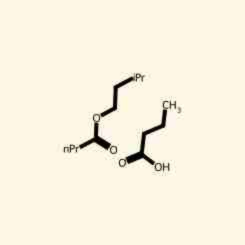 CCCC(=O)O.CCCC(=O)OCCC(C)C